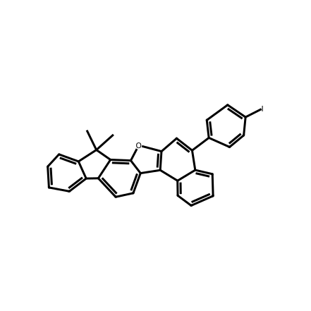 CC1(C)c2ccccc2-c2ccc3c(oc4cc(-c5ccc(I)cc5)c5ccccc5c43)c21